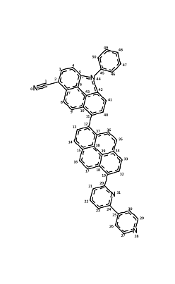 N#Cc1ccc2c3c1ccc1c(-c4ccc5ccc6c(-c7cccc(-c8ccncc8)n7)ccc7ccc4c5c76)ccc(c13)n2-c1ccccc1